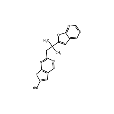 CC(C)(C)c1cc2cnc(CC(C)(C)c3cc4cncnc4o3)nc2s1